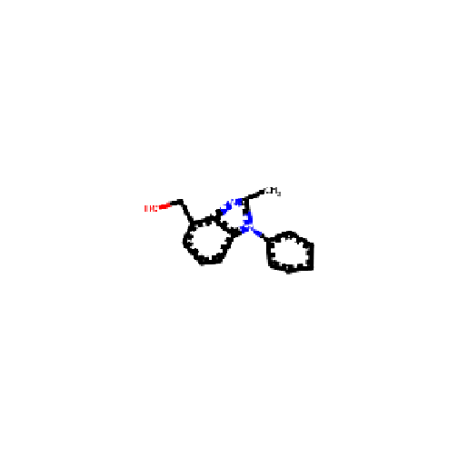 Cc1nc2c(CO)cccc2n1-c1ccccc1